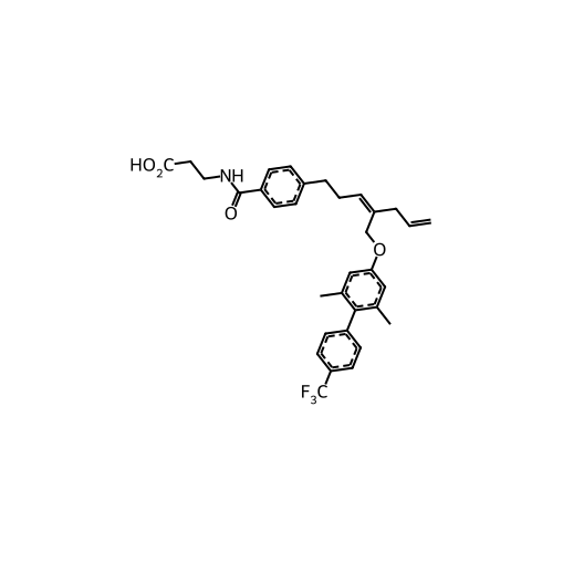 C=CCC(=CCCc1ccc(C(=O)NCCC(=O)O)cc1)COc1cc(C)c(-c2ccc(C(F)(F)F)cc2)c(C)c1